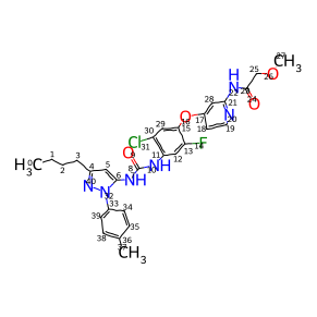 CCCCc1cc(NC(=O)Nc2cc(F)c(Oc3ccnc(NC(=O)COC)c3)cc2Cl)n(-c2ccc(C)cc2)n1